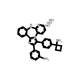 Cl.Cl.Cl.NC1(c2ccc(-c3c(-c4cccc([N+](=O)[O-])c4)nc4n3-c3cccnc3Nc3ccccc3-4)cc2)CCC1